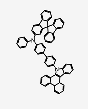 C1=CC2c3ccccc3-c3c(c4ccccc4n3-c3ccc(-c4ccc(N(c5ccccc5)c5ccc6c(c5)C5(c7ccccc7-c7ccccc75)c5ccccc5-6)cc4)cc3)C2C=C1